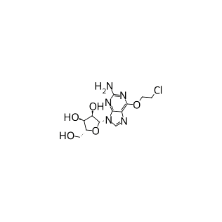 Nc1nc(OCCCl)c2ncn([C@@H]3O[C@H](CO)[C@@H](O)[C@H]3O)c2n1